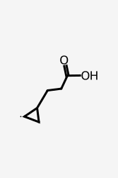 O=C(O)CCC1[CH]C1